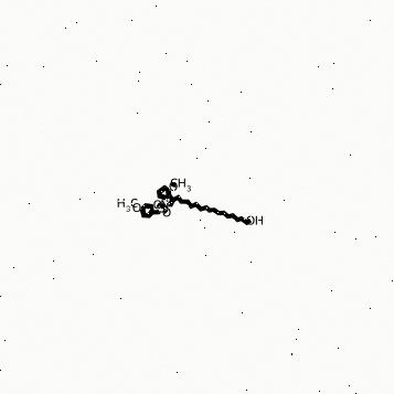 COc1ccc(CS(=O)(=O)n2cc(CCCCCCCCCCCCCCCCO)c3c(OC)cccc32)cc1